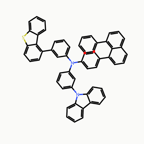 c1ccc(-c2cccc3cccc(-c4ccc(N(c5cccc(-c6cccc7sc8ccccc8c67)c5)c5cccc(-n6c7ccccc7c7ccccc76)c5)cc4)c23)cc1